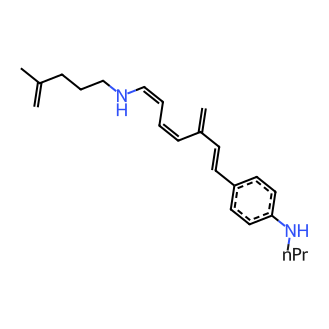 C=C(/C=C\C=C/NCCCC(=C)C)/C=C/c1ccc(NCCC)cc1